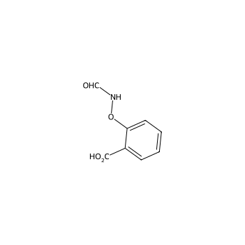 O=CNOc1ccccc1C(=O)O